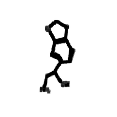 NCC(O)c1ccc2c(c1)OCO2